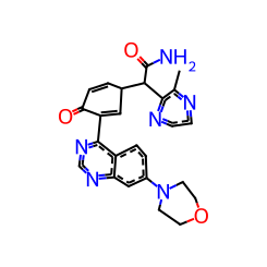 Cc1nccnc1C(C(N)=O)C1C=CC(=O)C(c2ncnc3cc(N4CCOCC4)ccc23)=C1